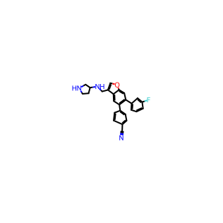 N#Cc1ccc(-c2cc3c(CNC4CCNC4)coc3cc2-c2cccc(F)c2)cc1